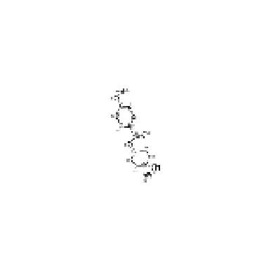 CCCOc1ccc(C(=O)O[C@H]2CC[C@](C#N)(CCC)CC2)cc1